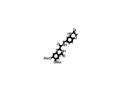 COc1cc2nc(C(=O)NCc3ccc4c(c3)NC(=O)CO4)[nH]c(=O)c2cc1OC